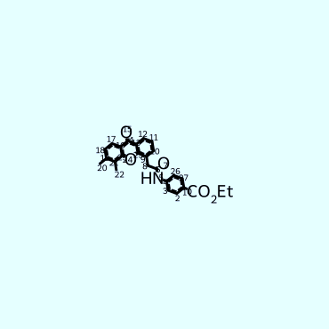 CCOC(=O)c1ccc(NC(=O)Cc2cccc3c(=O)c4ccc(C)c(C)c4oc23)cc1